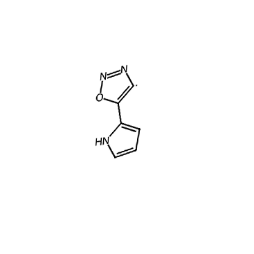 [c]1nnoc1-c1ccc[nH]1